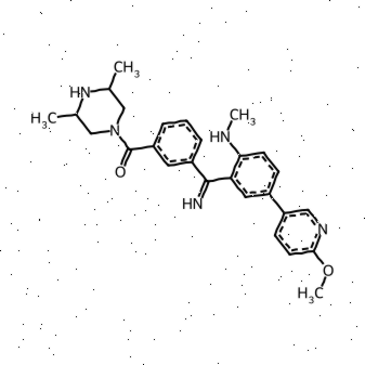 CNc1ccc(-c2ccc(OC)nc2)cc1C(=N)c1cccc(C(=O)N2CC(C)NC(C)C2)c1